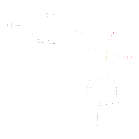 Cc1ccc(S(=O)(=O)SCc2ccc(Cl)cc2)cc1